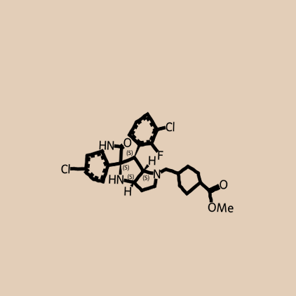 COC(=O)C1CCC(CN2CC[C@@H]3N[C@@]4(C(=O)Nc5cc(Cl)ccc54)[C@@H](c4cccc(Cl)c4F)[C@@H]32)CC1